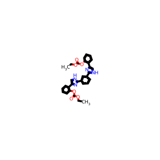 CCOC(=O)Oc1ccccc1-c1c[nH]c(-c2cccc(-c3nc(-c4ccccc4OC(=O)OCC)c[nH]3)c2)n1